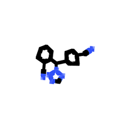 N#Cc1ccc(C(c2ccccc2C#N)n2ncnn2)cc1